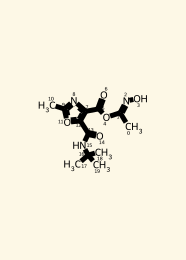 CC(=NO)OC(=O)c1nc(C)oc1C(=O)NC(C)(C)C